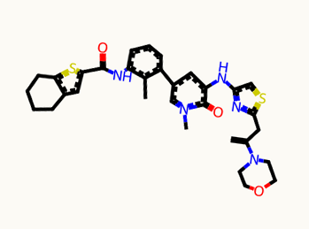 C=C(Cc1nc(Nc2cc(-c3cccc(NC(=O)c4cc5c(s4)CCCC5)c3C)cn(C)c2=O)cs1)N1CCOCC1